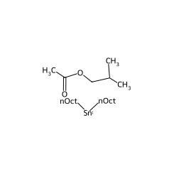 CC(=O)OCC(C)C.CCCCCCC[CH2][Sn][CH2]CCCCCCC